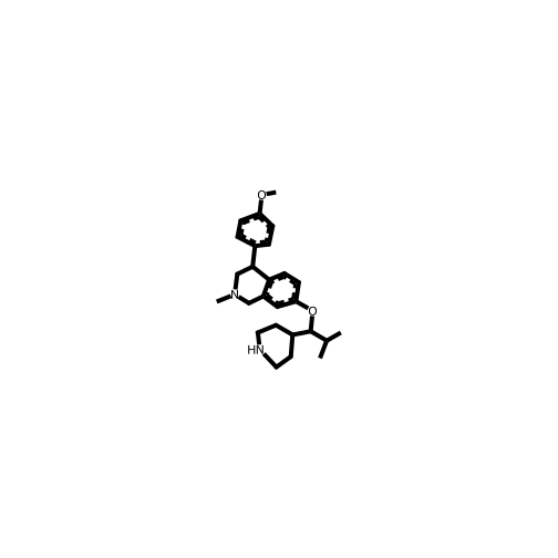 COc1ccc(C2CN(C)Cc3cc(OC(C(C)C)C4CCNCC4)ccc32)cc1